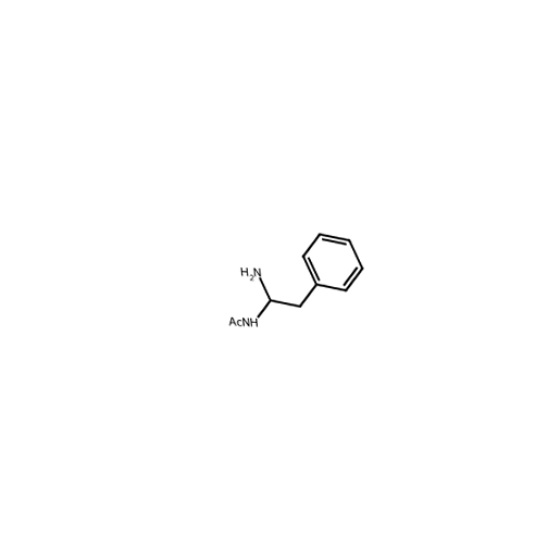 CC(=O)NC(N)Cc1ccccc1